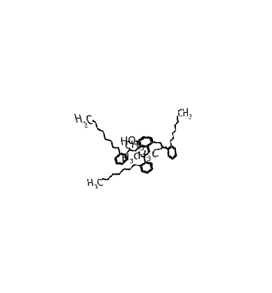 CCCCCCCCc1ccccc1C(C)Cc1ccc(O)c(CC(C)c2ccccc2CCCCCCCC)c1CC(C)c1ccccc1CCCCCCCC